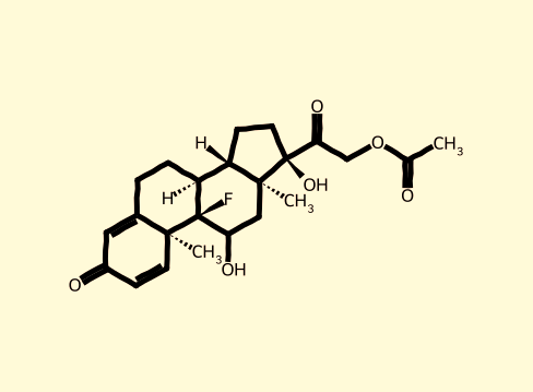 CC(=O)OCC(=O)[C@@]1(O)CC[C@H]2[C@@H]3CCC4=CC(=O)C=C[C@]4(C)[C@@]3(F)C(O)C[C@@]21C